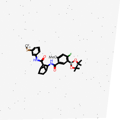 COc1cc(F)c(B2OC(C)(C)C(C)(C)O2)cc1C(=O)NC1C2CCC(C2)C1C(=O)Nc1cccc(SC(F)(F)F)c1